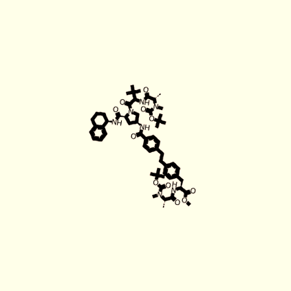 COC(=O)[C@H](Cc1ccc(CCc2ccc(C(=O)N[C@H]3C[C@@H](C(=O)N[C@@H]4CCCc5ccccc54)N(C(=O)C(NC(=O)[C@H](C)N(C)C(=O)OC(C)(C)C)C(C)(C)C)C3)cc2)cc1)NC(=O)[C@H](C)N(C)C(=O)OC(C)(C)C